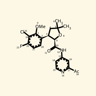 COc1c([C@H]2CC(C)(C)O[C@H]2C(=O)Nc2ccnc(C(C)=O)c2)ccc(F)c1Cl